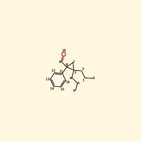 CCCC1(CCC)CC1(C=O)c1ccccc1